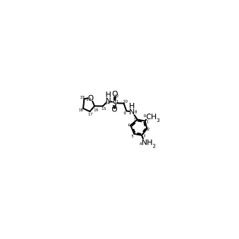 Cc1cc(N)ccc1NCCS(=O)(=O)NCC1CCCO1